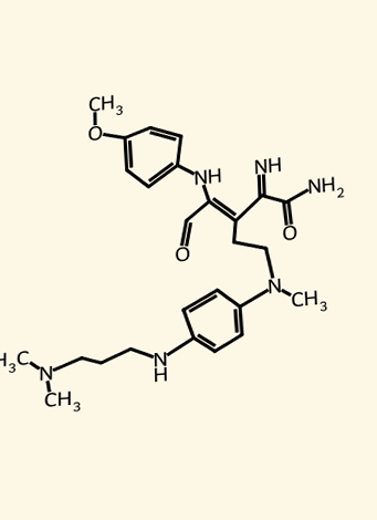 COc1ccc(N/C(C=O)=C(/CCN(C)c2ccc(NCCCN(C)C)cc2)C(=N)C(N)=O)cc1